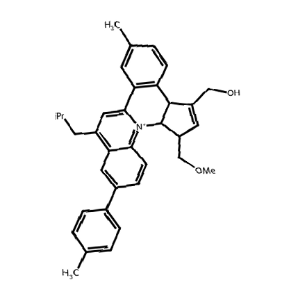 COCC1C=C(CO)C2c3ccc(C)cc3-c3cc(CC(C)C)c4cc(-c5ccc(C)cc5)ccc4[n+]3C12